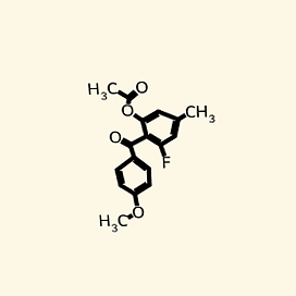 COc1ccc(C(=O)c2c(F)cc(C)cc2OC(C)=O)cc1